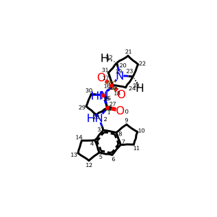 O=C(Nc1c2c(cc3c1CCC3)CCC2)NS(=O)(=O)N1[C@@H]2CC[C@H]1CC(N1CCCC1)C2